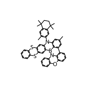 Cc1cc2c3c(c1)N(c1cc4c(cc1C)C(C)(C)CCC4(C)C)c1cc4c(cc1B3N1c3ccccc3Oc3cccc-2c31)Sc1ccccc1S4